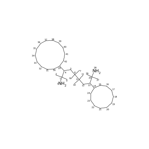 CC(C)(N)C(CC(C)(C)C(C)(C)CC(C1CCCCCCCCCC1)C(C)(C)N)C1CCCCCCCCCCCCC1